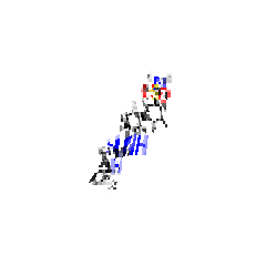 CN(C)S(=O)(=O)c1cccc(-c2cccc(Nc3nccc(C(F)(F)F)n3)c2)c1